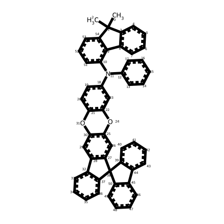 CC1(C)c2ccccc2-c2c(N(c3ccccc3)c3ccc4c(c3)Oc3cc5c(cc3O4)-c3ccccc3C53c4ccccc4-c4ccccc43)cccc21